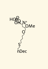 CCCCCCCCCCCCSCCCCCOCC(CC(COP(=O)(O)O)[N+](C)(C)C)OC